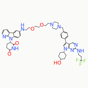 O=C1CCC(n2c3ccc(NCCOCCOCCN4CCN(Cc5ccc(-c6cn(C7CCC(O)CC7)c7nc(NCCC(F)(F)F)ncc67)cc5)CC4)cc3c3cccnc32)C(=O)N1